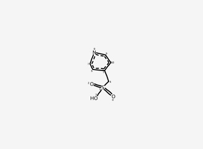 O=S(=O)(O)Cc1ccncc1